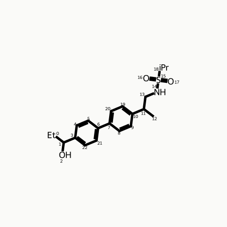 CCC(O)c1ccc(-c2ccc(C(C)CNS(=O)(=O)C(C)C)cc2)cc1